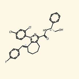 O=C(N[C@@H](CO)c1ccccc1)c1nn(-c2ccc(Cl)cc2Cl)c2c1CCCC/C2=C\c1ccc(F)cc1